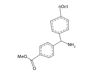 CCCCCCCCc1ccc(C(N)c2ccc(C(=O)OC)cc2)cc1